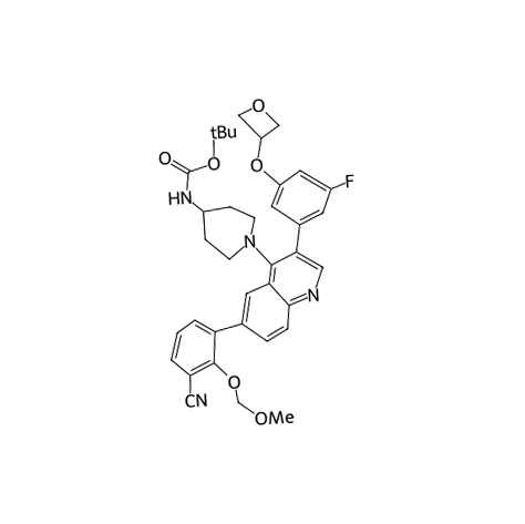 COCOc1c(C#N)cccc1-c1ccc2ncc(-c3cc(F)cc(OC4COC4)c3)c(N3CCC(NC(=O)OC(C)(C)C)CC3)c2c1